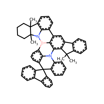 CC1(C)c2ccccc2-c2cc3c4c(c21)N1c2ccccc2C2(c5ccccc5-c5ccccc52)c2cccc(c21)B4N1c2c-3cccc2C2(C)CCCCC12C